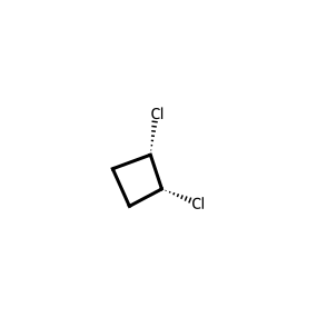 Cl[C@@H]1CC[C@@H]1Cl